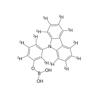 [2H]c1c([2H])c(OB(O)O)c([2H])c(-n2c3c([2H])c([2H])c([2H])c([2H])c3c3c([2H])c([2H])c([2H])c([2H])c32)c1[2H]